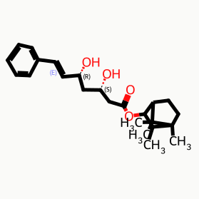 CC1C(OC(=O)C[C@@H](O)C[C@@H](O)/C=C/c2ccccc2)C2CCC1(C)C2(C)C